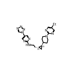 CCc1cnc(N2CCC([C@H]3C[C@@H]3CCNc3ncc(-n4cnnn4)cn3)CC2)nc1